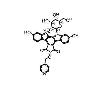 O=C1c2c(c3c4ccc(O)cc4n([C@@H]4O[C@H](CO)[C@@H](O)[C@H](O)[C@H]4O)c3c3[nH]c4cc(O)ccc4c23)C(=O)N1OCc1ccncc1